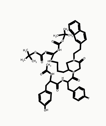 CC(=O)NC(Cc1ccc(O)cc1)C(=O)NC(Cc1ccc(F)cc1)C(=O)N1CC(=O)N(CCc2ccc3ccccc3c2)CC1CCCN/C(=N\C(=O)OC(C)(C)C)NC(=O)OC(C)(C)C